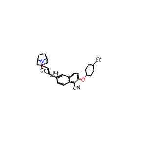 CC[C@H]1CC[C@@H](Oc2ccc3cc(CCCN4C5CCC4CC(C(=O)O)C5)ccc3c2C#N)CC1